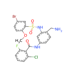 COc1ccc(Br)cc1S(=O)(=O)Nc1cc(NC(=O)c2c(F)cccc2Cl)ccc1CN